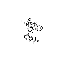 CC1COCCN1c1cc(N=S(C)(C)=O)nc(-c2ccnc3[nH]c(C(F)(F)F)nc23)n1